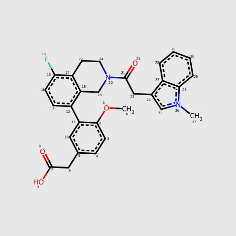 COc1ccc(CC(=O)O)cc1-c1ccc(F)c2c1CN(C(=O)Cc1cn(C)c3ccccc13)CC2